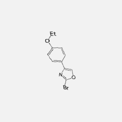 CCOc1ccc(-c2coc(Br)n2)cc1